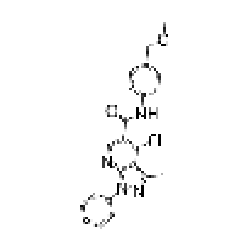 COCc1ccc(NC(=O)c2cnc3c(c(C)nn3-c3ccccc3)c2Cl)cc1